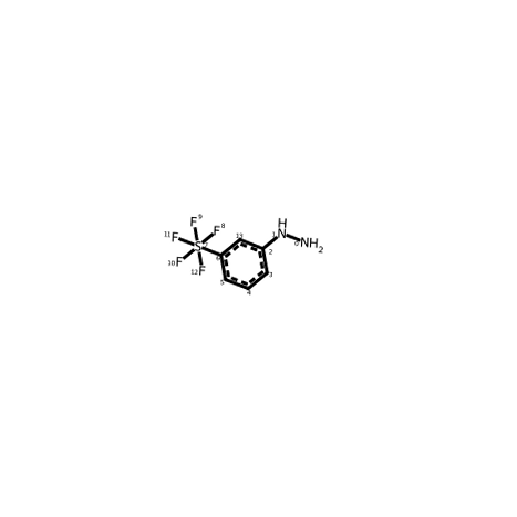 NNc1cccc(S(F)(F)(F)(F)F)c1